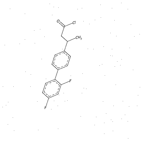 CC(CC(=O)Cl)c1ccc(-c2ccc(F)cc2F)cc1